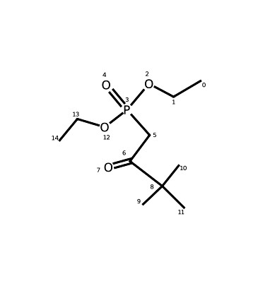 CCOP(=O)(CC(=O)C(C)(C)C)OCC